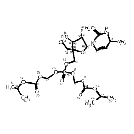 C=C1NC(N)C=CN1[C@@H]1O[C@](CCl)(COP(=O)(OCOC(=O)OC(C)C)OCOC(=O)OC(C)C)[C@@H](O)[C@H]1F